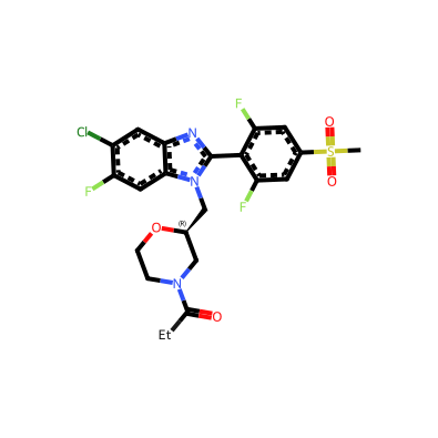 CCC(=O)N1CCO[C@@H](Cn2c(-c3c(F)cc(S(C)(=O)=O)cc3F)nc3cc(Cl)c(F)cc32)C1